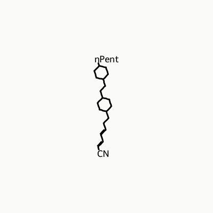 CCCCCC1CCC(CCC2CCC(CCC=CC=CC#N)CC2)CC1